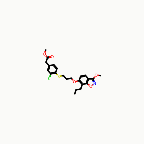 CCCc1c(OCCCSc2ccc(CC(=O)OC)cc2Cl)ccc2c(OC)noc12